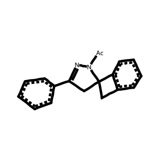 CC(=O)N1N=C(c2ccccc2)CC12Cc1ccccc12